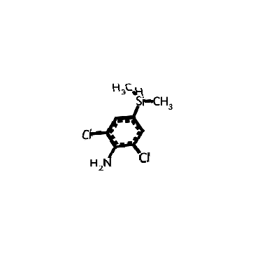 C[SiH](C)c1cc(Cl)c(N)c(Cl)c1